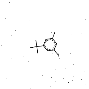 Cc1cc(I)cc(C(C)(C)C)c1